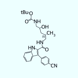 C[C@H](CNC(=O)c1[nH]c2ccccc2c1-c1ccc(C#N)cc1)CC(O)CNC(=O)OC(C)(C)C